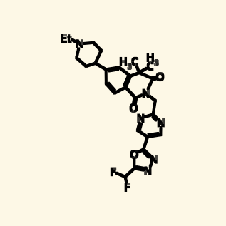 CCN1CCC(c2ccc3c(c2)C(C)(C)C(=O)N(Cc2ncc(-c4nnc(C(F)F)o4)cn2)C3=O)CC1